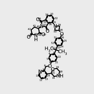 CC(C)(c1ccc(OCc2ncccc2C2CNCCO2)cc1)c1ccc(OC2CN(c3cccc4c3C(=O)N(C3CCC(=O)NC3=O)C4=O)C2)cc1